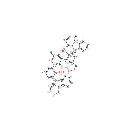 COCOc1c(-c2cc(C)cc(-n3c4ccccc4c4ccccc43)c2O)cc(C)cc1-c1cc(C)cc(-n2c3ccccc3c3ccccc32)c1O